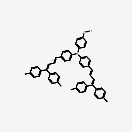 CCOc1ccc(N(c2ccc(/C=C/C=C(c3ccc(C)cc3)c3ccc(C)cc3)cc2)c2ccc(/C=C/C=C(c3ccc(C)cc3)c3ccc(C)cc3)cc2)cc1